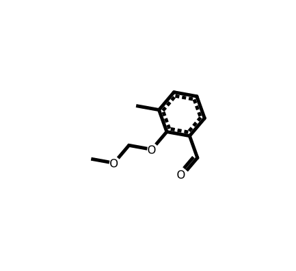 COCOc1c(C)cccc1C=O